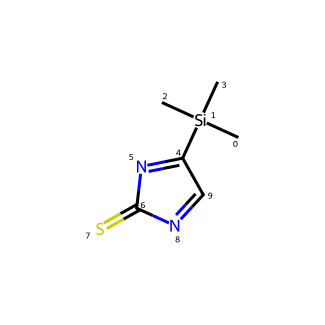 C[Si](C)(C)C1=NC(=S)N=C1